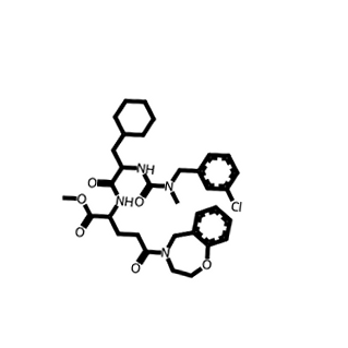 COC(=O)C(CCC(=O)N1CCOc2ccccc2C1)NC(=O)C(CC1CCCCC1)NC(=O)N(C)Cc1cccc(Cl)c1